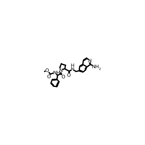 COC(=O)NC(C(=O)N1CCCC1C(=O)NCc1ccc2c(N)nccc2c1)c1ccccc1